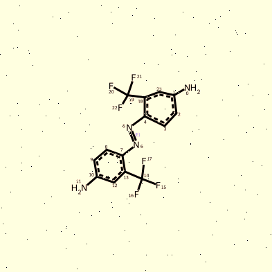 Nc1ccc(/N=N/c2ccc(N)cc2C(F)(F)F)c(C(F)(F)F)c1